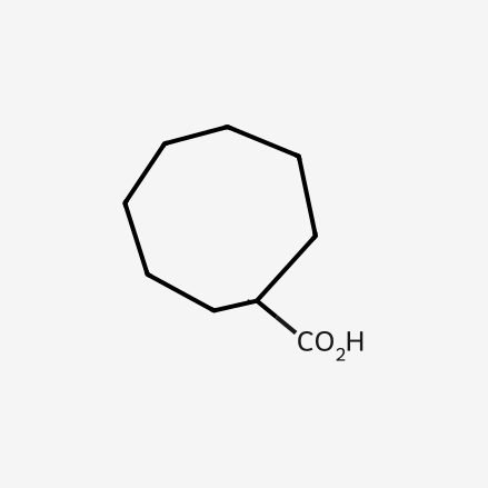 O=C(O)[C]1CCCCCCC1